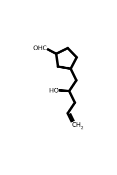 C=CCC(O)CC1CCC(C=O)C1